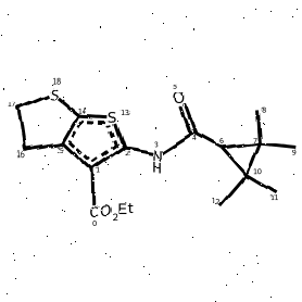 CCOC(=O)c1c(NC(=O)C2C(C)(C)C2(C)C)sc2c1CCS2